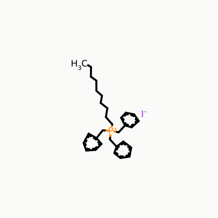 CCCCCCCCCC[P+](Cc1ccccc1)(Cc1ccccc1)Cc1ccccc1.[I-]